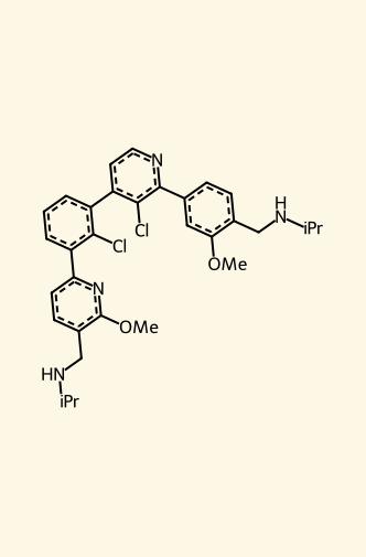 COc1cc(-c2nccc(-c3cccc(-c4ccc(CNC(C)C)c(OC)n4)c3Cl)c2Cl)ccc1CNC(C)C